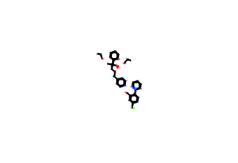 CCCOC(=O)C(CC(=O)Cc1ccc(NC(=O)c2cc(C(F)(F)F)ccc2-c2ccccc2)cc1)(C(=O)OCCC)c1ccccc1